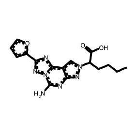 CCCCC(C(=O)O)n1cc2c(nc(N)n3nc(-c4ccco4)nc23)n1